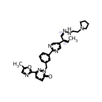 C/C=C(\C=N/NCCN1CCCC1)c1cnc(-c2cccc(Cn3nc(-c4ncc(C)o4)ccc3=O)c2)nc1